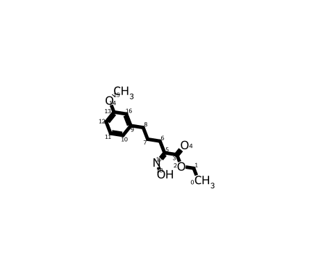 CCOC(=O)C(CCCc1cccc(OC)c1)=NO